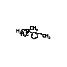 C=Cc1cccc([Si](C)(C)C=C)c1